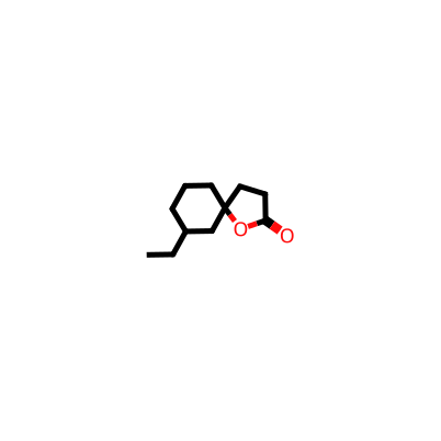 CCC1CCCC2(CCC(=O)O2)C1